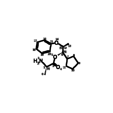 C[C@H](N)C(=O)O[C@@H](C1CCCC1)[C@H](C)Oc1ccccc1